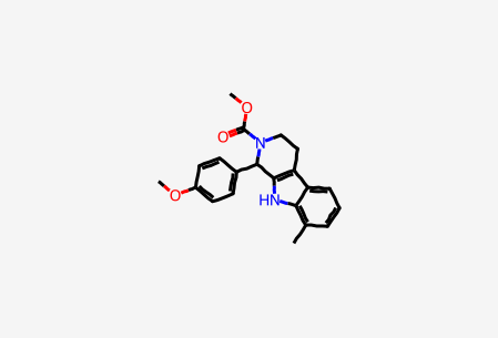 COC(=O)N1CCc2c([nH]c3c(C)cccc23)C1c1ccc(OC)cc1